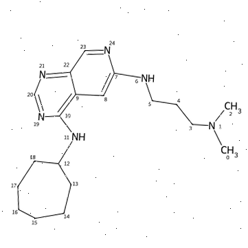 CN(C)CCCNc1cc2c(NC3CCCCCC3)ncnc2cn1